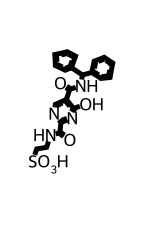 O=C(NCCS(=O)(=O)O)c1ncc(C(=O)NC(c2ccccc2)c2ccccc2)c(O)n1